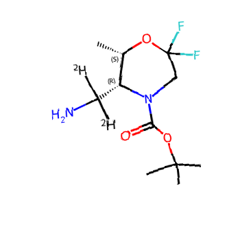 [2H]C([2H])(N)[C@@H]1[C@H](C)OC(F)(F)CN1C(=O)OC(C)(C)C